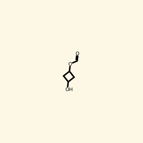 O=COC1CC(O)C1